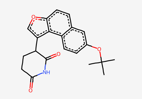 CC(C)(C)Oc1ccc2c(ccc3occ(C4CCC(=O)NC4=O)c32)c1